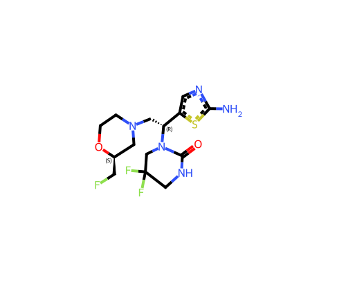 Nc1ncc([C@@H](CN2CCO[C@H](CF)C2)N2CC(F)(F)CNC2=O)s1